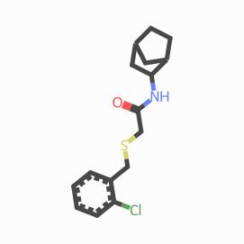 O=C(CSCc1ccccc1Cl)NC1CC2CCC1C2